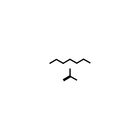 C=C(C)C.CCCCCCC